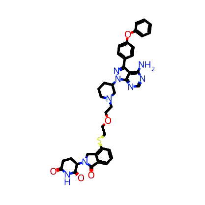 Nc1ncnc2c1c(-c1ccc(Oc3ccccc3)cc1)nn2C1CCCN(CCOCCSc2cccc3c2CN(C2CCC(=O)NC2=O)C3=O)C1